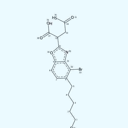 CCCCCCc1ccc2oc(C(CC(=O)S)C(=O)O)nc2c1Br